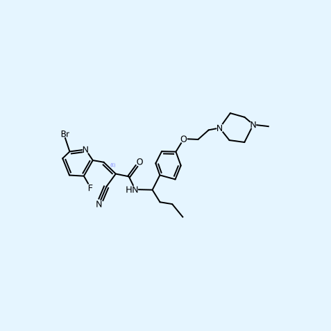 CCCC(NC(=O)/C(C#N)=C/c1nc(Br)ccc1F)c1ccc(OCCN2CCN(C)CC2)cc1